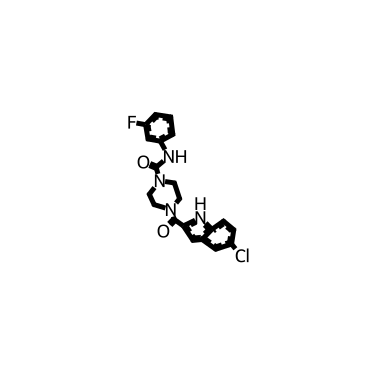 O=C(Nc1cccc(F)c1)N1CCN(C(=O)c2cc3cc(Cl)ccc3[nH]2)CC1